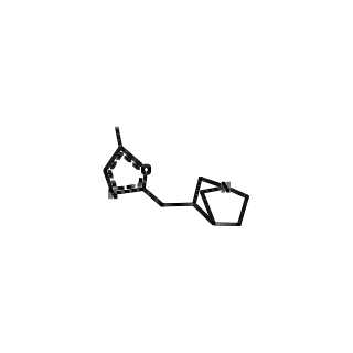 Cc1cnc(CC2CN3CCC2C3)o1